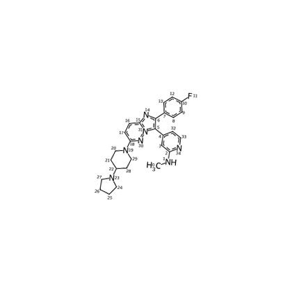 CNc1cc(-c2c(-c3ccc(F)cc3)nc3ccc(N4CCC(N5CCCC5)CC4)nn23)ccn1